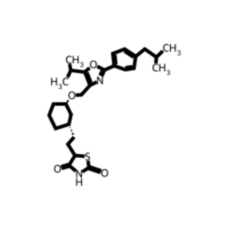 CC(C)Cc1ccc(-c2nc(CO[C@H]3CCC[C@@H](CCC4SC(=O)NC4=O)C3)c(C(C)C)o2)cc1